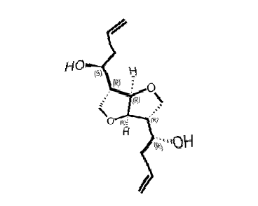 C=CC[C@@H](O)[C@H]1CO[C@@H]2[C@@H]([C@@H](O)CC=C)CO[C@H]12